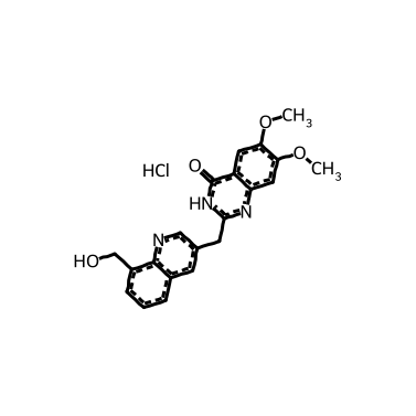 COc1cc2nc(Cc3cnc4c(CO)cccc4c3)[nH]c(=O)c2cc1OC.Cl